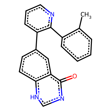 Cc1ccccc1-c1ncccc1-c1ccc2[nH]cnc(=O)c2c1